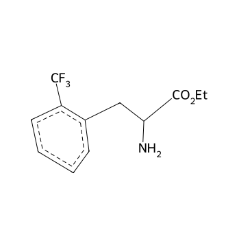 CCOC(=O)C(N)Cc1ccccc1C(F)(F)F